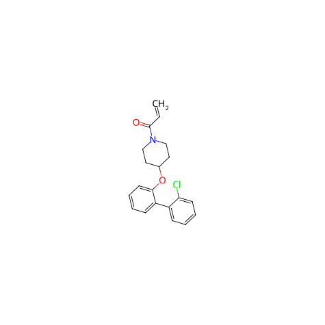 C=CC(=O)N1CCC(Oc2ccccc2-c2ccccc2Cl)CC1